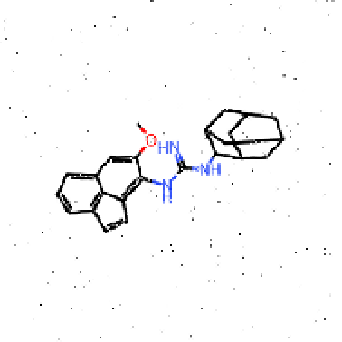 COc1cc2cccc3c2c(c1NC(=N)NC1C2CC4CC(C2)CC1C4)C=C3